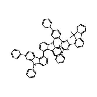 CC1(C)c2ccccc2-c2cccc(-c3nc(-c4ccccc4)nc(-c4ccc(C5C=CC=CC5)cc4-n4c5ccccc5c5c(-c6cccc7c6c6ccc(-c8ccccc8)cc6n7-c6ccccc6)cccc54)n3)c21